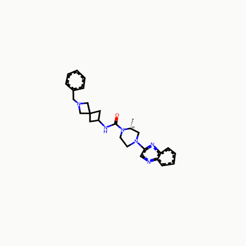 C[C@@H]1CN(c2cnc3ccccc3n2)CCN1C(=O)NC1CC2(C1)CN(Cc1ccccc1)C2